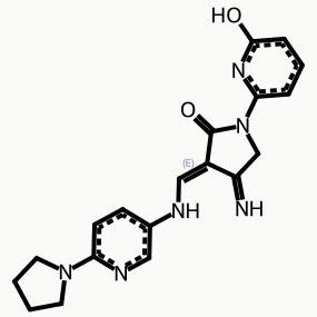 N=C1CN(c2cccc(O)n2)C(=O)/C1=C/Nc1ccc(N2CCCC2)nc1